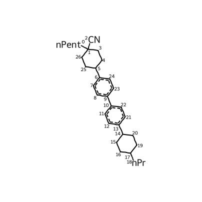 CCCCCC1(C#N)CCC(c2ccc(-c3ccc(C4CCC(CCC)CC4)cc3)cc2)CC1